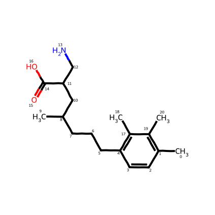 Cc1ccc(CCCC(C)CC(CN)C(=O)O)c(C)c1C